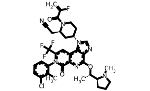 C=C(F)C(=O)N1CC[C@H](n2cnc3c(O[C@@H](C)[C@@H]4CCCN4C)nc4c(=O)n(-c5cccc(Cl)c5C)c(C(F)(F)F)cc4c32)C[C@H]1CC#N